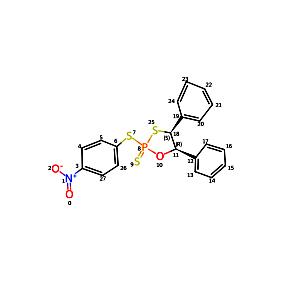 O=[N+]([O-])c1ccc(SP2(=S)O[C@H](c3ccccc3)[C@H](c3ccccc3)S2)cc1